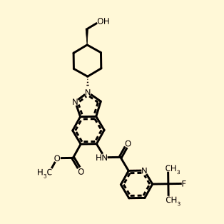 COC(=O)c1cc2nn([C@H]3CC[C@H](CO)CC3)cc2cc1NC(=O)c1cccc(C(C)(C)F)n1